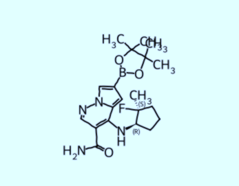 CC1(C)OB(c2cc3c(N[C@@H]4CCC[C@]4(C)F)c(C(N)=O)cnn3c2)OC1(C)C